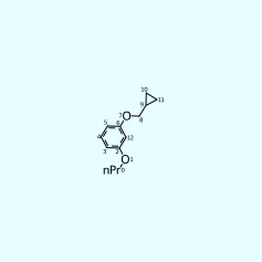 CCCOc1cccc(OCC2CC2)c1